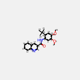 COc1cc(NC(=O)c2cnc3ccccc3c2)c(C(C)(C)C)cc1OC